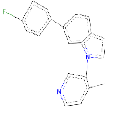 Cc1ccncc1-n1ccc2ccc(-c3ccc(F)cc3)cc21